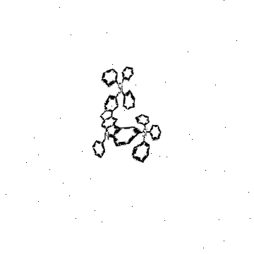 c1ccc(-n2c3ccc([Si](c4ccccc4)(c4ccccc4)c4ccccc4)cc3c3cc4c(cc32)Cc2ccc([Si](c3ccccc3)(c3ccccc3)c3ccccc3)cc2-4)cc1